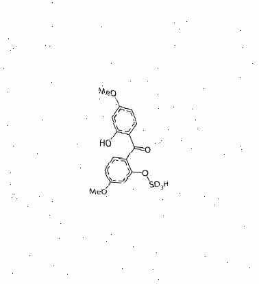 COc1ccc(C(=O)c2ccc(OC)cc2OS(=O)(=O)O)c(O)c1